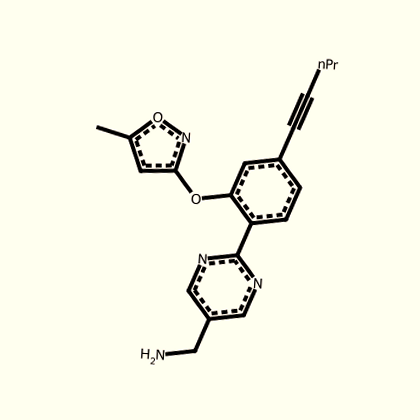 CCCC#Cc1ccc(-c2ncc(CN)cn2)c(Oc2cc(C)on2)c1